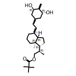 C=C1[C@H](O)CC(=C/C=C2\CCC[C@]3(C)[C@@H]([C@@H](C)COC(=O)C(C)(C)C)CC[C@@H]23)C[C@H]1O